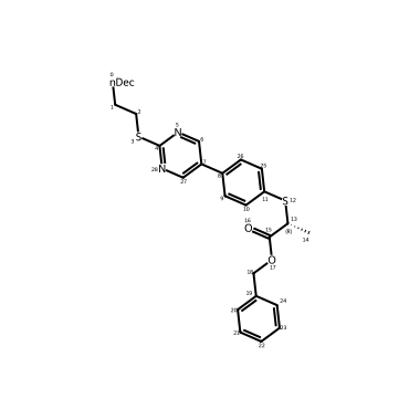 CCCCCCCCCCCCSc1ncc(-c2ccc(S[C@H](C)C(=O)OCc3ccccc3)cc2)cn1